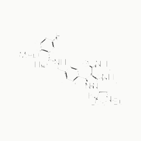 CCN1CC(n2nc(-c3ccc(CNC(O)c4cc(F)ccc4OC)cc3)c(C(N)=O)c2N)C(F)(F)C1